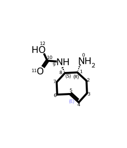 N[C@@H]1CC/C=C/CC[C@@H]1NC(=O)O